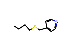 [CH2]CCCSCc1ccncc1